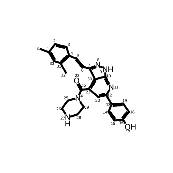 Cc1ccc(C=Cc2n[nH]c3nc(-c4ccc(O)cc4)cc(C(=O)N4CCNCC4)c23)c(C)c1